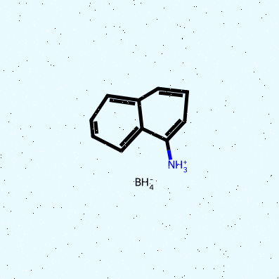 [BH4-].[NH3+]c1cccc2ccccc12